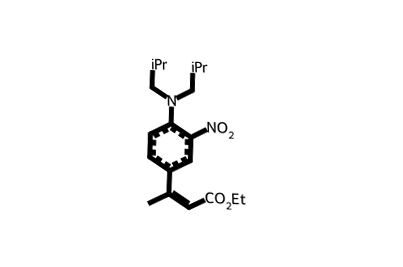 CCOC(=O)/C=C(/C)c1ccc(N(CC(C)C)CC(C)C)c([N+](=O)[O-])c1